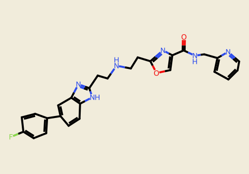 O=C(NCc1ccccn1)c1coc(CCNCCc2nc3cc(-c4ccc(F)cc4)ccc3[nH]2)n1